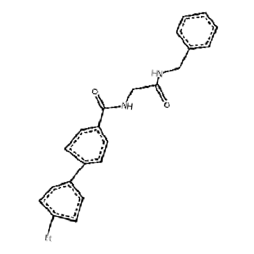 CCc1ccc(-c2ccc(C(=O)NCC(=O)NCc3ccccc3)cc2)cc1